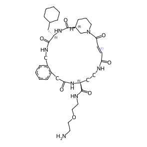 NCCOCCNC(=O)[C@@H]1CCNC(=O)/C=C/C(=O)N2CCC[C@H](C2)C(=O)N[C@@H](CC2CCCCC2)C(=O)NCc2ccccc2CC(=O)N1